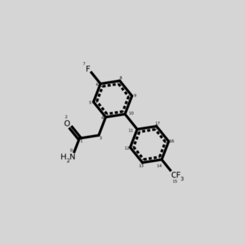 NC(=O)Cc1cc(F)ccc1-c1ccc(C(F)(F)F)cc1